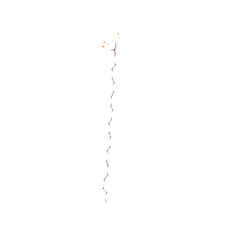 COCCOCCOCCOCCOCCOCCOCCOCCOCCOCCOCC(COP(=O)(O)O)OP(=O)(O)O